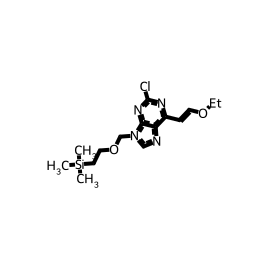 CCOC=Cc1nc(Cl)nc2c1ncn2COCC[Si](C)(C)C